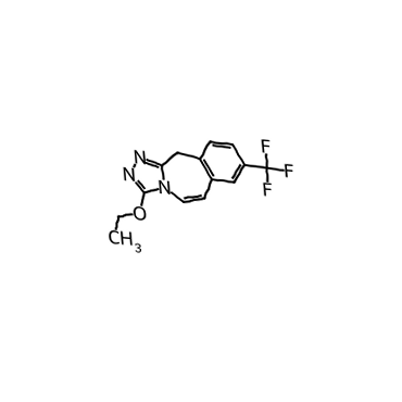 CCOc1nnc2n1C=Cc1cc(C(F)(F)F)ccc1C2